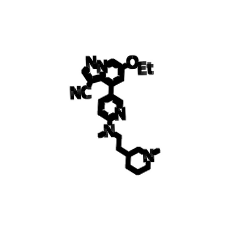 CCOc1cc(-c2ccc(N(C)CCC3CCCN(C)C3)nc2)c2c(C#N)cnn2c1